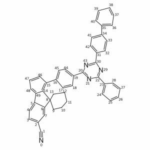 N#Cc1ccc2c(c1)C1(CCCCC1)c1c(-c3ccc(-c4nc(-c5ccccc5)nc(-c5ccc(-c6ccccc6)cc5)n4)cc3)cccc1-2